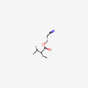 CCC(C(=O)OCCC#N)C(C)C